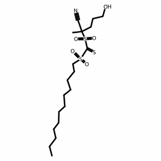 CCCCCCCCCCCCS(=O)(=O)C(=S)S(=O)(=O)C(C)(C#N)CCCO